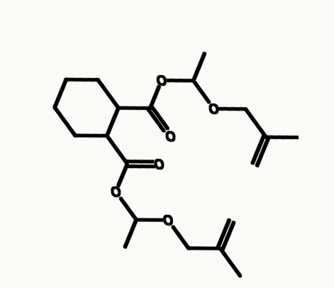 C=C(C)COC(C)OC(=O)C1CCCCC1C(=O)OC(C)OCC(=C)C